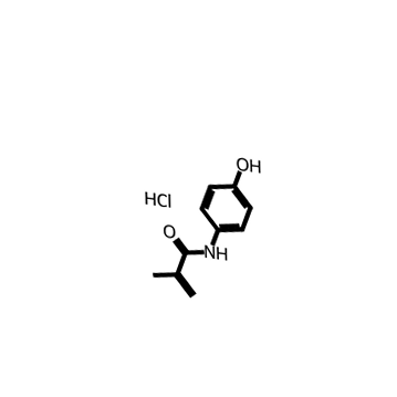 C=C(C)C(=O)Nc1ccc(O)cc1.Cl